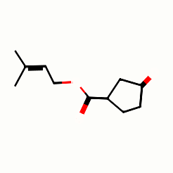 CC(C)=CCOC(=O)C1CCC(=O)C1